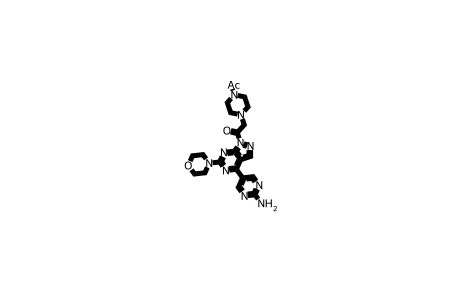 CC(=O)N1CCN(CC(=O)n2ncc3c(-c4cnc(N)nc4)nc(N4CCOCC4)nc32)CC1